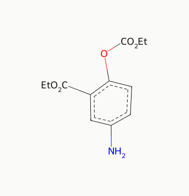 CCOC(=O)Oc1ccc(N)cc1C(=O)OCC